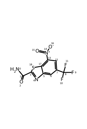 NC(=O)c1nc2cc(C(F)(F)F)cc([N+](=O)[O-])c2s1